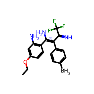 Bc1ccc(/C(C(=N)C(F)(F)F)=C(/N)c2ccc(OCC)cc2N)cc1